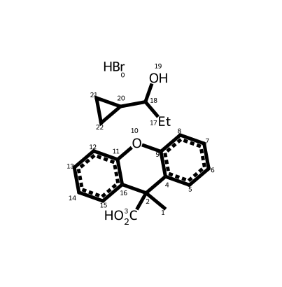 Br.CC1(C(=O)O)c2ccccc2Oc2ccccc21.CCC(O)C1CC1